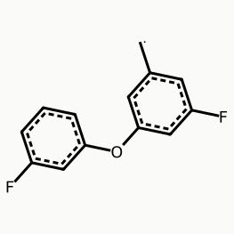 [CH2]c1cc(F)cc(Oc2cccc(F)c2)c1